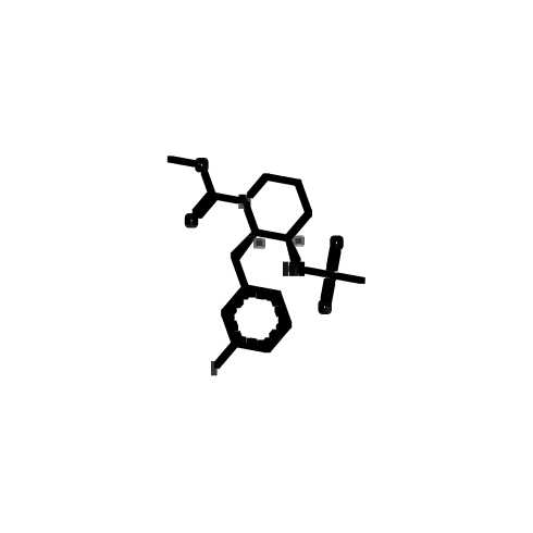 COC(=O)N1CCC[C@@H](NS(C)(=O)=O)[C@H]1Cc1cccc(I)c1